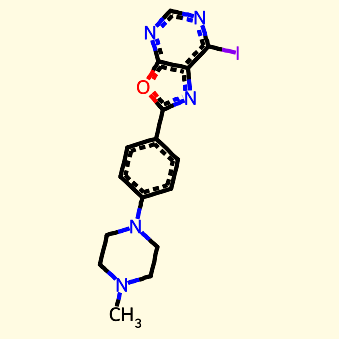 CN1CCN(c2ccc(-c3nc4c(I)ncnc4o3)cc2)CC1